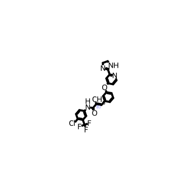 C/C(=C\c1cccc(Oc2ccnc(C3=NCCN3)c2)c1)C(=O)Nc1ccc(Cl)c(C(F)(F)F)c1